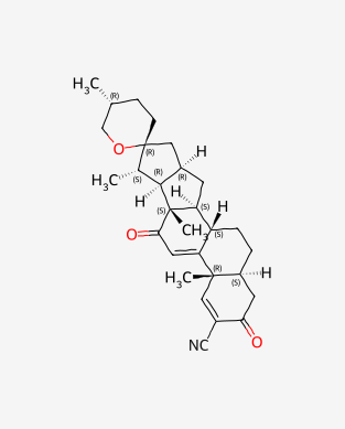 C[C@@H]1CC[C@]2(C[C@H]3C[C@H]4[C@@H]5CC[C@H]6CC(=O)C(C#N)=C[C@]6(C)C5=CC(=O)[C@]4(C)[C@H]3[C@@H]2C)OC1